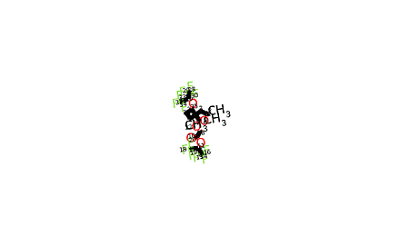 CC(C)CC1(C(=O)OCC(=O)OC(C(F)(F)F)C(F)(F)F)C(C)CC1OC(C(F)(F)F)C(F)(F)F